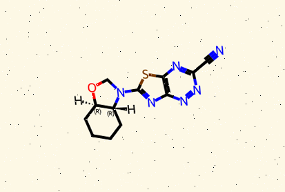 N#Cc1nnc2nc(N3CO[C@@H]4CCCC[C@H]43)sc2n1